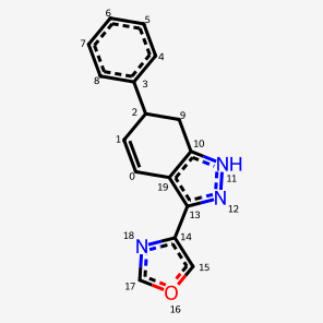 C1=CC(c2ccccc2)Cc2[nH]nc(-c3cocn3)c21